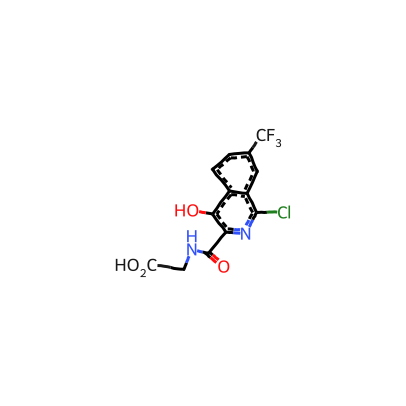 O=C(O)CNC(=O)c1nc(Cl)c2cc(C(F)(F)F)ccc2c1O